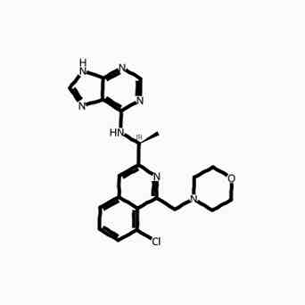 C[C@H](Nc1ncnc2[nH]cnc12)c1cc2cccc(Cl)c2c(CN2CCOCC2)n1